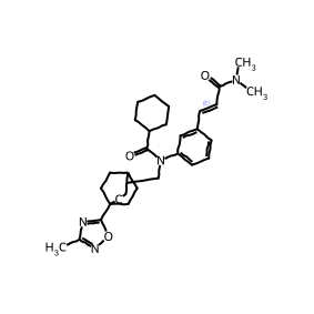 Cc1noc(C23CCC(CC2)C(CN(C(=O)C2CCCCC2)c2cccc(/C=C/C(=O)N(C)C)c2)CC3)n1